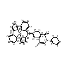 Cc1cn(-c2ccccc2)c(=O)c2ccc(N3c4ccccc4[Si]4(c5ccccc5-c5ccccc54)c4ccccc43)cc12